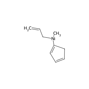 C=C[CH2][Ni]([CH3])[C]1=CC=CC1